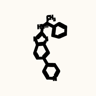 C[C@@H](Nc1nc2ccc(-c3ccncc3)cc2s1)c1ccccc1